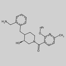 CCCOc1nc(C)ccc1C(=O)N1CCC(Cc2ccccc2CN)[C@H](O)C1